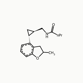 CCCC(=O)NC[C@@H]1C[C@H]1c1cccc2c1CC(C)O2